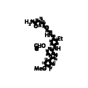 CCc1cc(Nc2nccn3c(-c4ccc(OC)c(F)c4F)cnc23)ccc1CNCCOCC[N+](C)(C)CC(N)=O.O=C[O-]